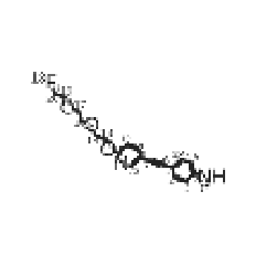 CNc1ccc(C#Cc2ccc(OCCOCCOCC[18F])nc2)cc1